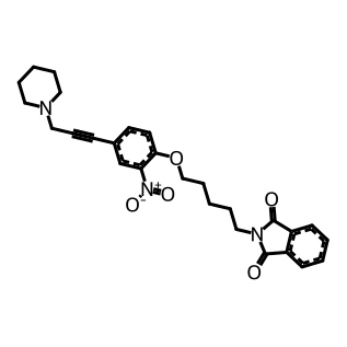 O=C1c2ccccc2C(=O)N1CCCCCOc1ccc(C#CCN2CCCCC2)cc1[N+](=O)[O-]